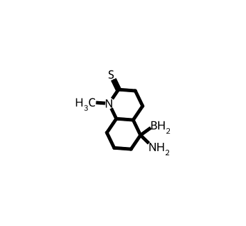 BC1(N)CCCC2C1CCC(=S)N2C